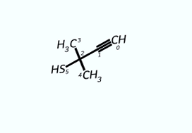 C#CC(C)(C)S